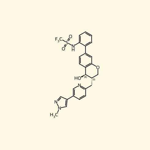 Cn1cc(-c2ccc(C[C@H]3COc4cc(-c5ccccc5NS(=O)(=O)C(F)(F)F)ccc4[C@@H]3O)nc2)cn1